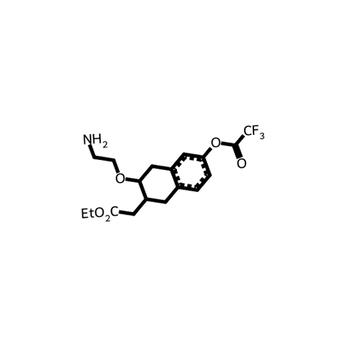 CCOC(=O)CC1Cc2ccc(OC(=O)C(F)(F)F)cc2CC1OCCN